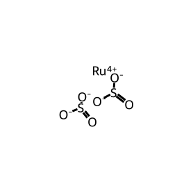 O=S([O-])[O-].O=S([O-])[O-].[Ru+4]